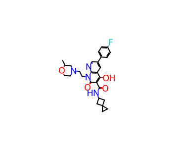 CC1CN(CCn2c(=O)c(C(=O)NC3CC4(CC4)C3)c(O)c3cc(-c4ccc(F)cc4)cnc32)CCO1